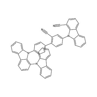 N#Cc1cc(-n2c3ccccc3c3cccc(C#N)c32)ccc1-c1ccc(-n2c3ccccc3c3cccc(-n4c5ccccc5c5ccccc54)c32)cc1